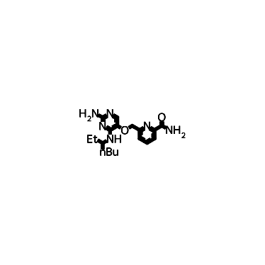 CCCCC(CC)Nc1nc(N)ncc1OCc1cccc(C(N)=O)n1